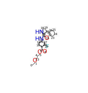 CCOCCCOC(=O)c1ccc(NC(=O)[C@H]2NCCC2C2CCCCC2)cc1F